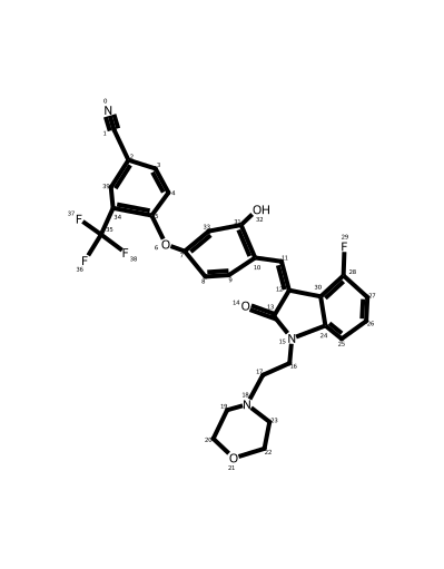 N#Cc1ccc(Oc2ccc(C=C3C(=O)N(CCN4CCOCC4)c4cccc(F)c43)c(O)c2)c(C(F)(F)F)c1